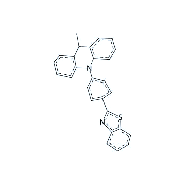 CC1c2ccccc2N(c2ccc(-c3nc4ccccc4s3)cc2)c2ccccc21